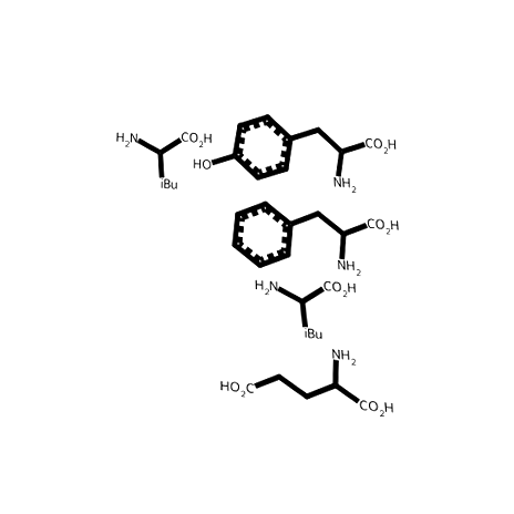 CCC(C)C(N)C(=O)O.CCC(C)C(N)C(=O)O.NC(CCC(=O)O)C(=O)O.NC(Cc1ccc(O)cc1)C(=O)O.NC(Cc1ccccc1)C(=O)O